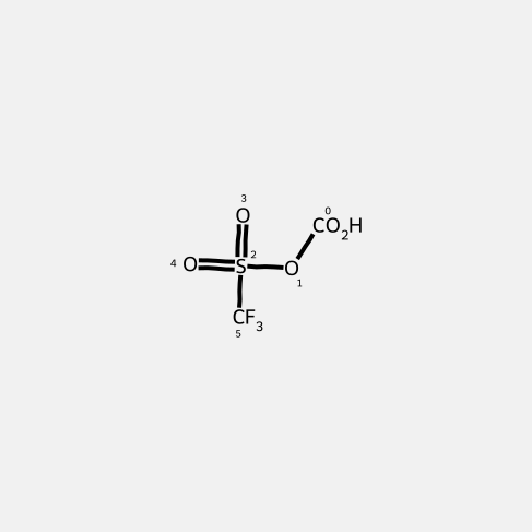 O=C(O)OS(=O)(=O)C(F)(F)F